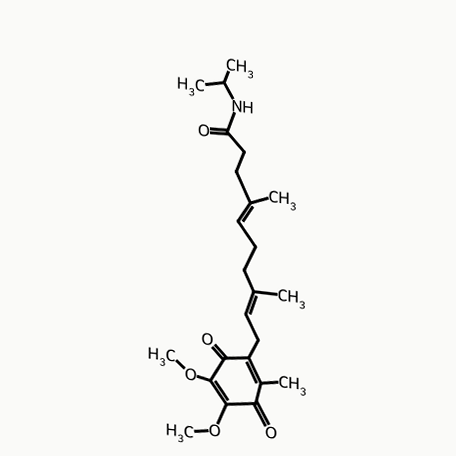 COC1=C(OC)C(=O)C(C/C=C(\C)CC/C=C(\C)CCC(=O)NC(C)C)=C(C)C1=O